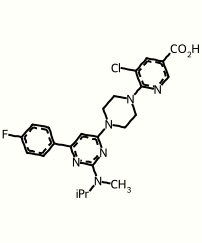 CC(C)N(C)c1nc(-c2ccc(F)cc2)cc(N2CCN(c3ncc(C(=O)O)cc3Cl)CC2)n1